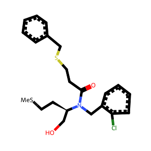 CSCC[C@H](CO)N(Cc1ccccc1Cl)C(=O)CCSCc1ccccc1